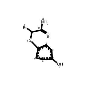 [CH2]CC(Sc1ccc(O)cc1)C(N)=O